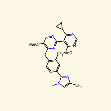 COc1cnc(-c2c(OC)ncnc2C2CC2)nc1Cc1ccc(-c2nc(C(F)(F)F)cn2C)cc1C(F)(F)F